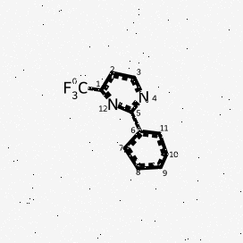 FC(F)(F)c1ccnc(-c2[c]cccc2)n1